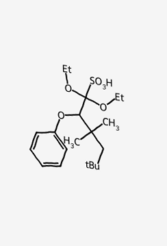 CCOC(OCC)(C(Oc1ccccc1)C(C)(C)CC(C)(C)C)S(=O)(=O)O